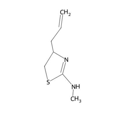 C=CCC1CSC(NC)=N1